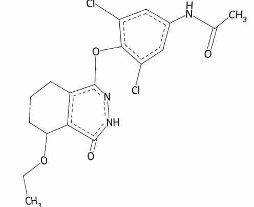 CCOC1CCCc2c(Oc3c(Cl)cc(NC(C)=O)cc3Cl)n[nH]c(=O)c21